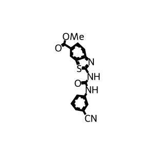 COC(=O)c1ccc2nc(NC(=O)Nc3cccc(C#N)c3)sc2c1